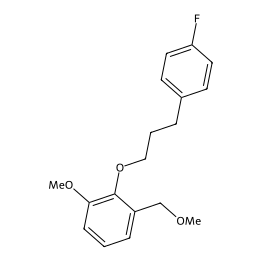 COCc1cccc(OC)c1OCCCc1ccc(F)cc1